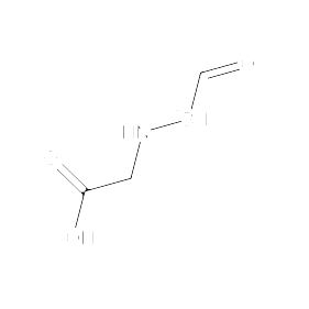 O=CBNCC(=O)O